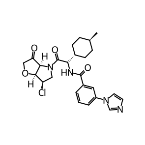 C[C@H]1CC[C@H](C(NC(=O)c2cccc(-n3ccnc3)c2)C(=O)N2C[C@@H](Cl)[C@H]3OCC(=O)[C@H]32)CC1